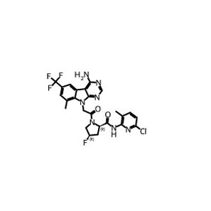 Cc1ccc(Cl)nc1NC(=O)[C@H]1C[C@@H](F)CN1C(=O)Cn1c2ncnc(N)c2c2cc(C(F)(F)F)cc(C)c21